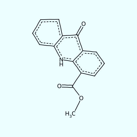 COC(=O)c1cccc2c(=O)c3ccccc3[nH]c12